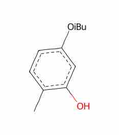 Cc1ccc(OCC(C)C)cc1O